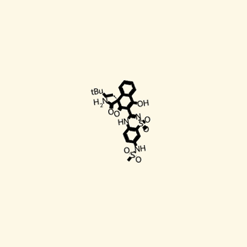 CC(C)(C)CC[C@@]1(C(N)=O)C(=O)C(C2=NS(=O)(=O)c3cc(NS(C)(=O)=O)ccc3N2)=C(O)c2ccccc21